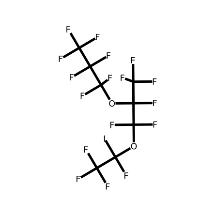 FC(F)(F)C(F)(I)OC(F)(F)C(F)(OC(F)(F)C(F)(F)C(F)(F)F)C(F)(F)F